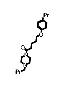 CC(C)CN1CCN(C(=O)CCCCOc2ccc(C(C)C)cc2)CC1